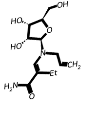 C=CCN(/C=C(\CC)C(N)=O)[C@@H]1O[C@H](CO)[C@@H](O)[C@H]1O